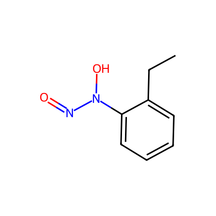 CCc1ccccc1N(O)N=O